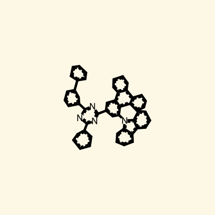 c1ccc(-c2cccc(-c3nc(-c4ccccc4)nc(-c4cc(-n5c6ccccc6c6ccccc65)c5c6ccccc6c6ccccc6c5c4)n3)c2)cc1